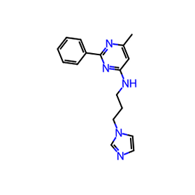 Cc1cc(NCCCn2ccnc2)nc(-c2ccccc2)n1